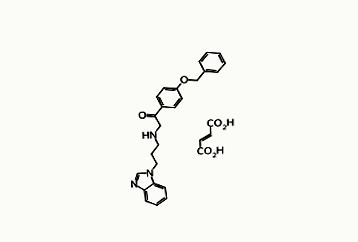 O=C(CNCCCn1cnc2ccccc21)c1ccc(OCc2ccccc2)cc1.O=C(O)C=CC(=O)O